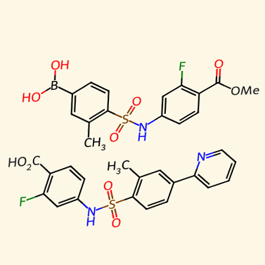 COC(=O)c1ccc(NS(=O)(=O)c2ccc(B(O)O)cc2C)cc1F.Cc1cc(-c2ccccn2)ccc1S(=O)(=O)Nc1ccc(C(=O)O)c(F)c1